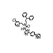 O=C(Nc1nc(-c2ccc(-n3ccnn3)cc2)ns1)N(CCc1cc(Cl)ccn1)CCC(c1ccccc1)c1ccccc1